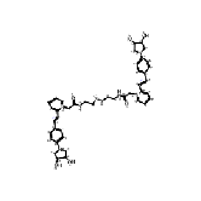 O=C(C[n+]1ccccc1/C=C/c1ccc(N2CC(O)C(O)C2)cc1)NCCSSCCNC(=O)C[n+]1ccccc1/C=C/c1ccc(N2CC(O)C(O)C2)cc1